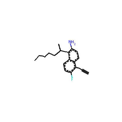 C#Cc1c(F)ccc2c(C(C)CCCCC)c(N)ccc12